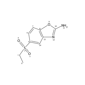 CCS(=O)(=O)c1ccc2oc(N)nc2c1